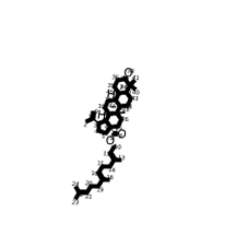 C=C(C)[C@@H]1CC[C@]2(C(=O)OC/C=C(\C)CC/C=C(\C)CCC=C(C)C)CC[C@]3(C)[C@H](CC[C@@H]4[C@@]5(C)CCC(=O)C(C)(C)C5CC[C@]43C)C12